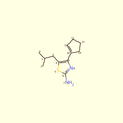 CC(C)Cc1sc(N)nc1C1=CCCC1